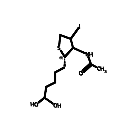 CC(=O)NC1C(I)CS[C@H]1CCCCC(O)O